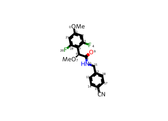 COc1cc(F)c([C@H](OC)C(=O)NCc2ccc(C#N)cc2)c(F)c1